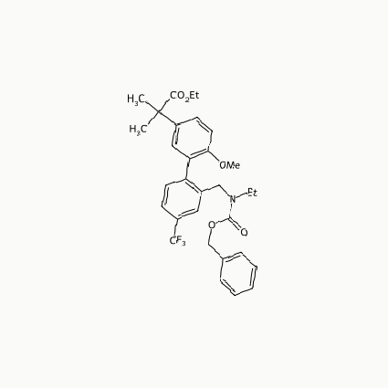 CCOC(=O)C(C)(C)c1ccc(OC)c(-c2ccc(C(F)(F)F)cc2CN(CC)C(=O)OCc2ccccc2)c1